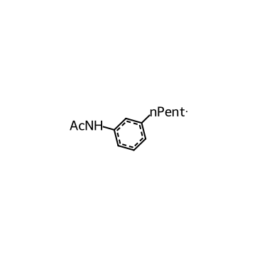 CCCC[CH]c1cccc(NC(C)=O)c1